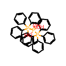 OP(O)(O)(P(c1ccccc1)(c1ccccc1)(c1ccccc1)c1ccccc1)P(c1ccccc1)(c1ccccc1)(c1ccccc1)c1ccccc1